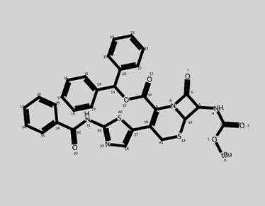 CC(C)(C)OC(=O)NC1C(=O)N2C(C(=O)OC(c3ccccc3)c3ccccc3)=C(c3cnc(NC(=O)c4ccccc4)s3)CSC12